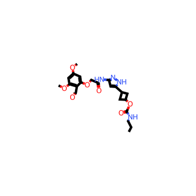 CCCNC(=O)OC1CC(c2cc(NC(=O)COc3cc(OC)cc(OC)c3C=O)n[nH]2)C1